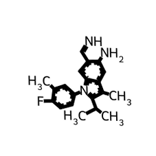 Cc1cc(-n2c(C(C)C)c(C)c3cc(N)c(C=N)cc32)ccc1F